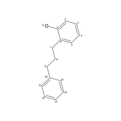 [O]c1ccccc1CCCc1ccccc1